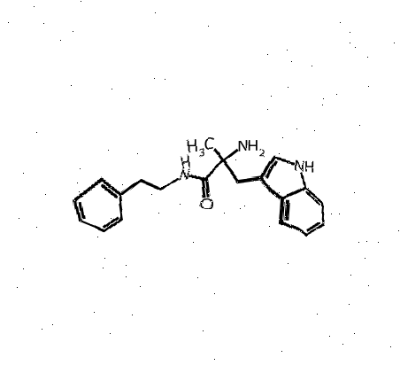 CC(N)(Cc1c[nH]c2ccccc12)C(=O)NCCc1ccccc1